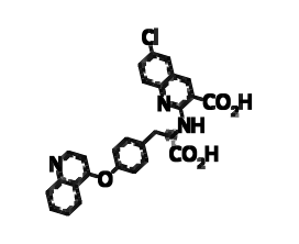 O=C(O)c1cc2cc(Cl)ccc2nc1N[C@@H](Cc1ccc(Oc2ccnc3ccccc23)cc1)C(=O)O